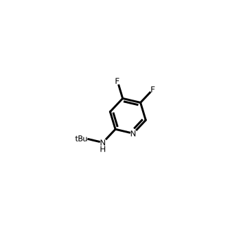 CC(C)(C)Nc1cc(F)c(F)cn1